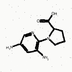 Nc1cnc(N2CCCC2C(=O)O)c(N)c1